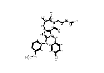 COc1cccc(Oc2nc3c(n2Cc2ccc(Cl)cc2)C(=O)N(CCCN=O)C(=O)C(I)C3)c1